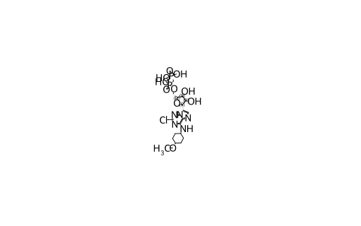 CO[C@H]1CC[C@@H](Nc2nc(Cl)nn3c([C@@H]4O[C@H](COP(=O)(O)CP(=O)(O)O)[C@@H](O)[C@H]4O)cnc23)CC1